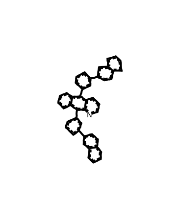 c1cc(-c2ccc3ccccc3c2)cc(-c2c3ccccc3c(-c3cccc(-c4ccc5ccccc5c4)c3)c3ncccc23)c1